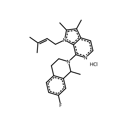 CC(C)=CCn1c(C)c(C)c2ccnc(N3CCc4ccc(F)cc4C3C)c21.Cl